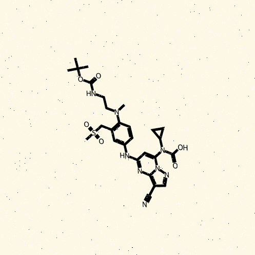 CN(CCNC(=O)OC(C)(C)C)c1ccc(Nc2cc(N(C(=O)O)C3CC3)n3ncc(C#N)c3n2)cc1CS(C)(=O)=O